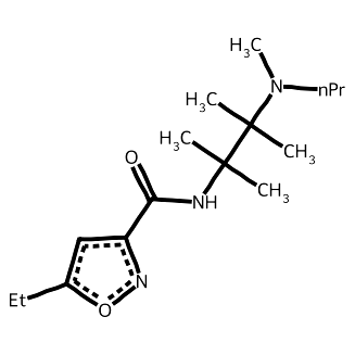 CCCN(C)C(C)(C)C(C)(C)NC(=O)c1cc(CC)on1